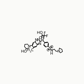 Cc1cc2nc(Nc3ccc(S(=O)(=O)NCCN4CCCC4)cc3)nnc2cc1N1CCCC(O)C1.O=C(O)C(F)(F)F